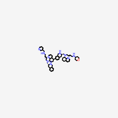 C(=C\CN(C[C@H]1Cc2ccccc2CN1)[C@H]1CCC(c2ccc3c(c2)CN[C@@H](CN(C/C=C/CNC2CCOCC2)[C@H]2CCCc4cccnc42)C3)c2cccnc21)/CNCc1cccnc1